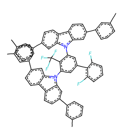 Cc1cccc(-c2ccc3c4ccc(-c5cccc(C)c5)cc4n(-c4cc(-c5c(F)cccc5F)cc(-n5c6cc(-c7cccc(C)c7)ccc6c6ccc(-c7cccc(C)c7)cc65)c4C(F)(F)F)c3c2)c1